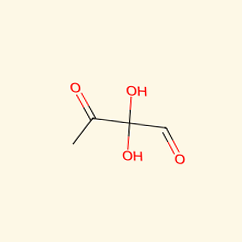 CC(=O)C(O)(O)C=O